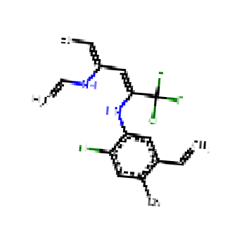 C=CNC(=C\CC)/C=C(\Nc1cc(C=C)c(C#N)cc1Cl)C(F)(F)Cl